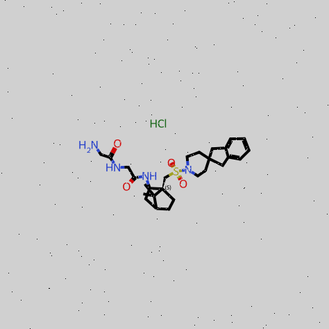 CC1(C)C2CC[C@@]1(CS(=O)(=O)N1CCC3(CC1)Cc1ccccc1C3)C(NC(=O)CNC(=O)CN)C2.Cl